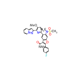 CNC(=O)c1c(-c2ccc(F)cc2)oc2cc(N(C)S(C)(=O)=O)c(-c3ccc(OC)c(-c4cc5ccccn5n4)n3)cc12